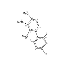 COc1c[c]c(-c2c(C)cc(C)cc2C)c(OC)c1OC